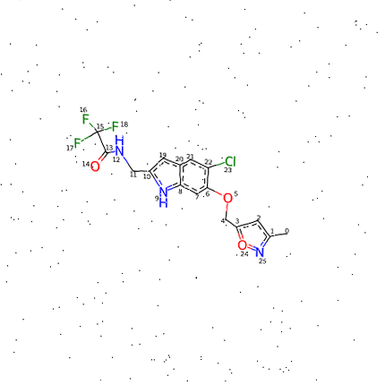 Cc1cc(COc2cc3[nH]c(CNC(=O)C(F)(F)F)cc3cc2Cl)on1